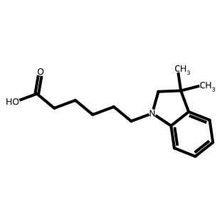 CC1(C)CN(CCCCCC(=O)O)c2ccccc21